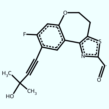 CC(C)(O)C#Cc1cc2c(cc1F)OCCc1sc([C]=O)nc1-2